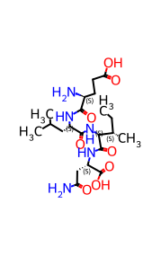 CC[C@H](C)[C@H](NC(=O)[C@H](CC(C)C)NC(=O)[C@@H](N)CCC(=O)O)C(=O)N[C@@H](CC(N)=O)C(=O)O